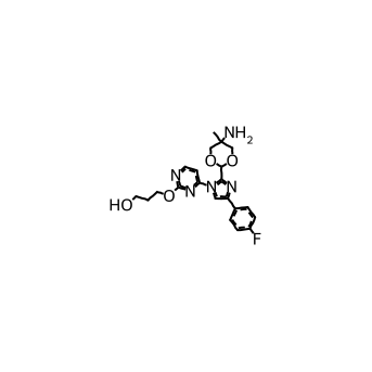 CC1(N)COC(c2nc(-c3ccc(F)cc3)cn2-c2ccnc(OCCCO)n2)OC1